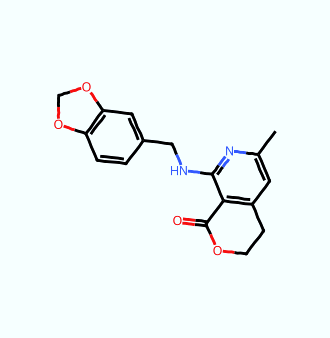 Cc1cc2c(c(NCc3ccc4c(c3)OCO4)n1)C(=O)OCC2